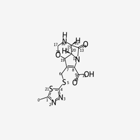 Cc1nnc(SCC2=C(C(=O)O)N3C(=O)[C@H]4NCOC2[C@H]43)s1